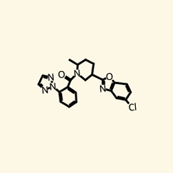 CC1CCC(c2nc3cc(Cl)ccc3o2)CN1C(=O)c1ccccc1-n1nccn1